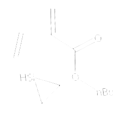 C=CC(=O)OCCCC.C=C[SiH]1CC1